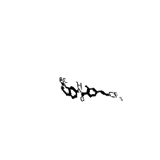 CC(=O)N1CCc2ccc(NC(=O)c3ccc(C=CC(F)(F)F)cc3C)cc21